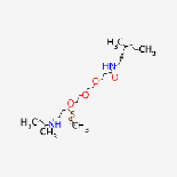 CCCC(C)C#CCNC(=O)CCOCCOCCOC(CCCNC(C)CC)SSC